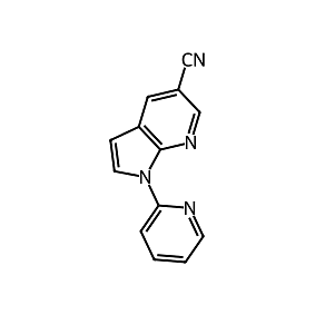 N#Cc1cnc2c(ccn2-c2ccccn2)c1